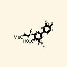 COCCN(C)c1nc(-c2ccc(C)c(F)c2)cc(C(F)(F)F)c1C(=O)O